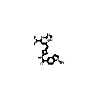 CC(C)n1ccc2cc(C(=O)N(C)C3CC(=Cc4cc(C(F)F)nc5ncnn45)C3)ccc21